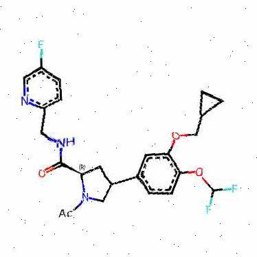 CC(=O)N1CC(c2ccc(OC(F)F)c(OCC3CC3)c2)C[C@@H]1C(=O)NCc1ccc(F)cn1